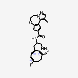 Cc1cnn2c1-c1cc(C(=O)NC(CN)CC3=C/C=C(/F)CC/C(F)=C\3)sc1OCC2